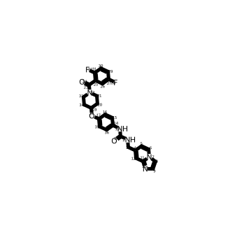 O=C(NCc1ccn2ccnc2c1)Nc1ccc(OC2CCN(C(=O)c3cc(F)ccc3F)CC2)cc1